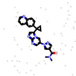 CN(C)C(=O)c1cnn(-c2cnc3ncc(C4(c5ccc6ncccc6c5)CC4)n3c2)c1